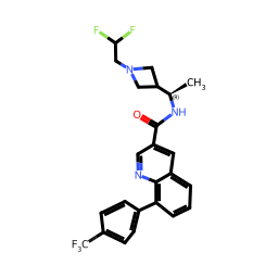 C[C@@H](NC(=O)c1cnc2c(-c3ccc(C(F)(F)F)cc3)cccc2c1)C1CN(CC(F)F)C1